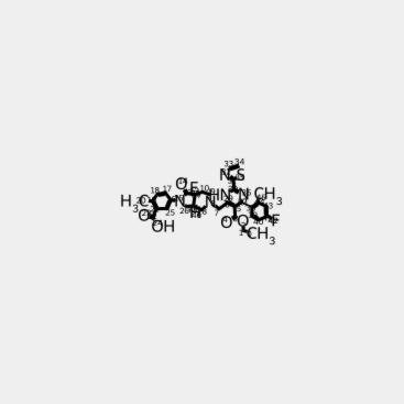 CCOC(=O)C1=C(CN2CC[C@]3(F)C(=O)N(c4ccc(C)c(C(=O)O)c4)C[C@@H]3C2)NC(c2nccs2)=N[C@H]1c1ccc(F)cc1C